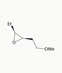 CC[C@@H]1O[C@@H]1CCOC